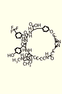 CN[C@@H](C)C(=O)N[C@H]1CCCCNC(=O)CCc2cn(nn2)CCOc2ccc(cc2)C[C@H](C(=O)O)NC(=O)[C@H](Cc2cccc(C(F)(F)F)c2)NC(=O)[C@H](Cc2ccc(O)cc2)NC1=O